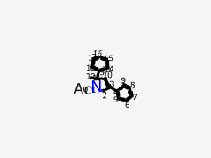 CC(=O)N1CC(c2ccccc2)=CC1(C)c1ccccc1